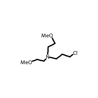 COCCN(CCCCl)CCOC